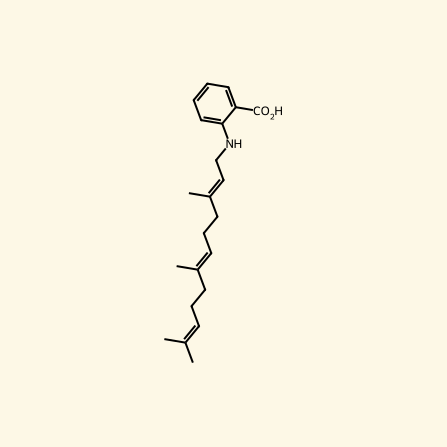 CC(C)=CCC/C(C)=C/CC/C(C)=C/CNc1ccccc1C(=O)O